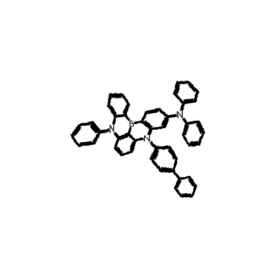 c1ccc(-c2ccc(N3c4cc(N(c5ccccc5)c5ccccc5)ccc4B4c5ccccc5N(c5ccccc5)c5cccc3c54)cc2)cc1